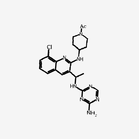 CC(=O)N1CCC(Nc2nc3c(Cl)cccc3cc2C(C)Nc2ncnc(N)n2)CC1